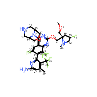 COC[C@@]1(COc2nc(N3C4CNCC3COC4)c3cc(F)c(-c4nc(N)cc(C)c4C(F)(F)F)c(F)c3n2)C[C@@H](F)CN1C